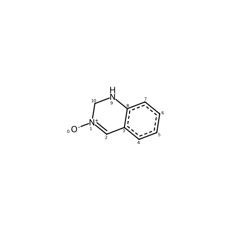 [O-][N+]1=Cc2ccccc2NC1